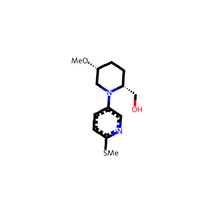 CO[C@@H]1CC[C@H](CO)N(c2ccc(SC)nc2)C1